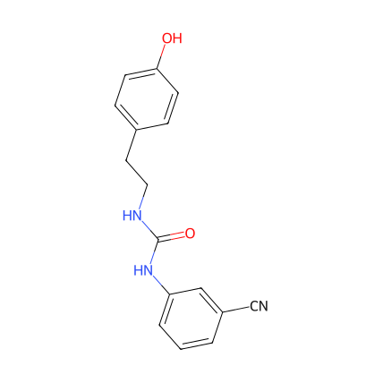 N#Cc1cccc(NC(=O)NCCc2ccc(O)cc2)c1